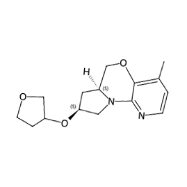 Cc1ccnc2c1OC[C@@H]1C[C@H](OC3CCOC3)CN21